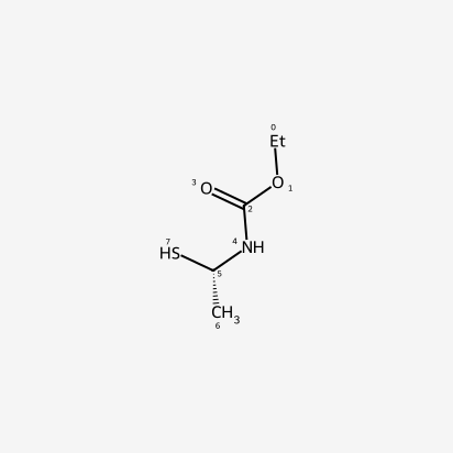 CCOC(=O)N[C@H](C)S